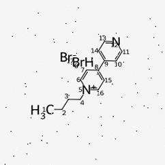 Br.CCCC[n+]1ccc(-c2ccncc2)cc1.[Br-]